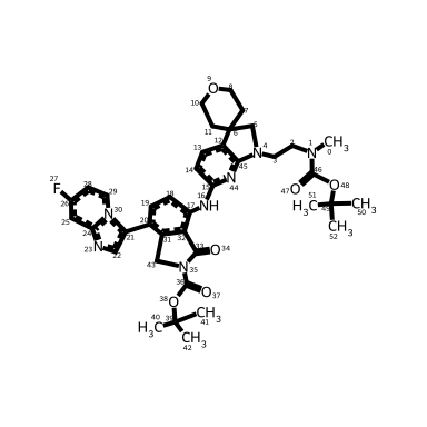 CN(CCN1CC2(CCOCC2)c2ccc(Nc3ccc(-c4cnc5cc(F)ccn45)c4c3C(=O)N(C(=O)OC(C)(C)C)C4)nc21)C(=O)OC(C)(C)C